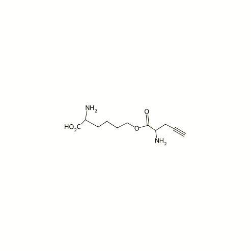 C#CCC(N)C(=O)OCCCCC(N)C(=O)O